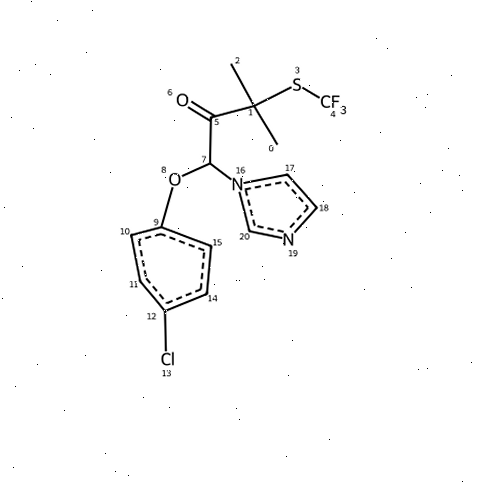 CC(C)(SC(F)(F)F)C(=O)C(Oc1ccc(Cl)cc1)n1ccnc1